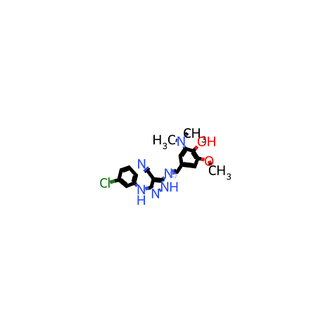 COc1cc(/C=N/c2[nH]nc(Nc3cccc(Cl)c3)c2C#N)cc(N(C)C)c1O